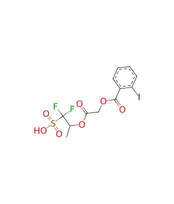 CC(OC(=O)COC(=O)c1ccccc1I)C(F)(F)S(=O)(=O)O